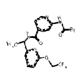 CCC(=O)Nc1cc(C(=O)NC(C)c2cccc(OCC(F)(F)F)n2)ccn1